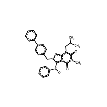 CC(C)Cn1c(=O)n(C)c(=O)c2c([S+]([O-])c3ccccc3)n(Cc3ccc(-c4ccccn4)cc3)nc21